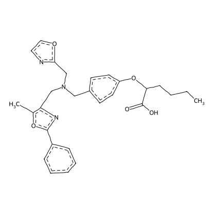 CCCCC(Oc1ccc(CN(Cc2ncco2)Cc2nc(-c3ccccc3)oc2C)cc1)C(=O)O